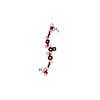 CC1(COCCCCOc2ccc(C(=O)Oc3ccc(OC(=O)c4ccc(OCCCCOCC5(C)COC5)cc4)c4c3C3CCC4C3)cc2)COC1